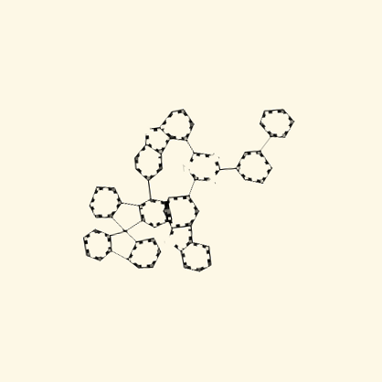 c1ccc(-c2cccc(-c3nc(-c4ccc5oc6ccccc6c5c4)nc(-c4cccc5oc6ccc(-c7cccc8c7-c7ccccc7C87c8ccccc8-c8ccccc87)cc6c45)n3)c2)cc1